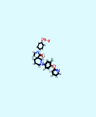 O=C1N([C@H]2CC[C@@H](O)CC2)CC[C@]12CCCN(c1ccc(Oc3ccccn3)c(F)c1)C2